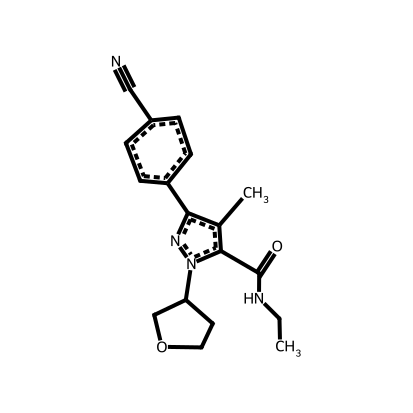 CCNC(=O)c1c(C)c(-c2ccc(C#N)cc2)nn1C1CCOC1